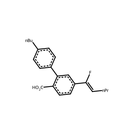 CCCC=C(F)c1ccc(C(=O)O)c(-c2ccc(CCCC)cc2)c1